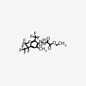 CCOC(=O)C(=O)NNc1c(C)cc(C(F)(C(F)(F)F)C(F)(F)F)cc1C(F)(F)F